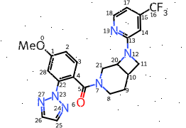 COc1ccc(C(=O)N2CCC3CN(c4cc(C(F)(F)F)ccn4)C3C2)c(-n2nccn2)c1